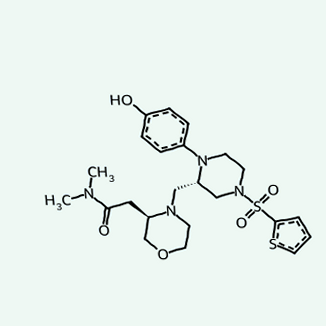 CN(C)C(=O)C[C@@H]1COCCN1C[C@H]1CN(S(=O)(=O)c2cccs2)CCN1c1ccc(O)cc1